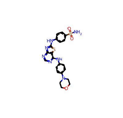 NS(=O)(=O)c1ccc(Nc2nc3ncnc(Nc4ccc(N5CCOCC5)cc4)c3s2)cc1